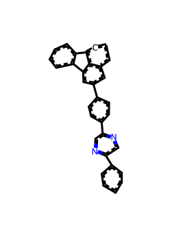 c1ccc(-c2cnc(-c3ccc(-c4cc5c6c(cccc6c4)-c4ccccc4-5)cc3)cn2)cc1